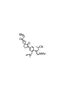 C=CN(C)Cc1cc(N2CCC3(CN(C(=O)OC(C)(C)C)C3)C2=O)ccc1N(/C=C\NC)[C@@H](C)C(C)C#N